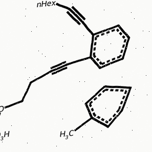 CCCCCCC#Cc1ccccc1C#CCCOS(=O)(=O)O.Cc1ccccc1